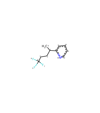 CC(CCC(F)(F)F)c1ccccn1